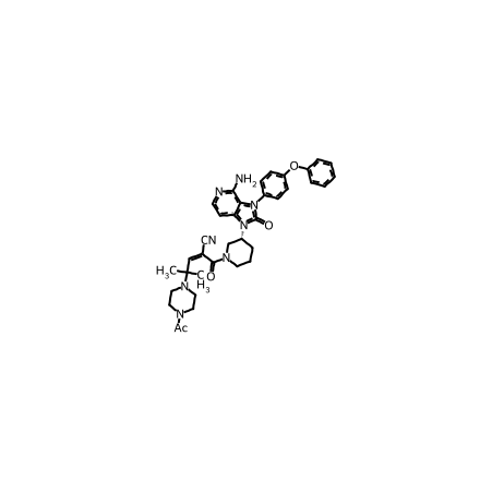 CC(=O)N1CCN(C(C)(C)/C=C(/C#N)C(=O)N2CCC[C@@H](n3c(=O)n(-c4ccc(Oc5ccccc5)cc4)c4c(N)nccc43)C2)CC1